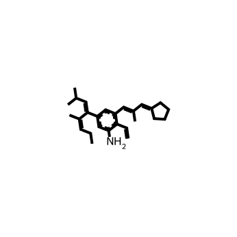 C=Cc1c(N)cc(C(=C/C(C)C)/C(C)=C\CC)cc1/C=C(\C)C=C1CCCC1